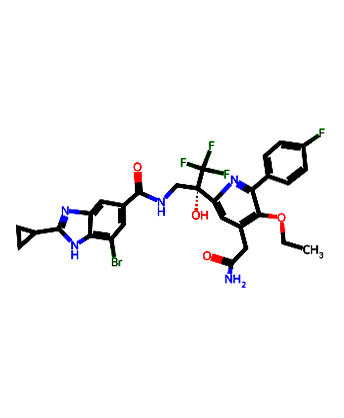 CCOc1c(CC(N)=O)cc([C@@](O)(CNC(=O)c2cc(Br)c3[nH]c(C4CC4)nc3c2)C(F)(F)F)nc1-c1ccc(F)cc1